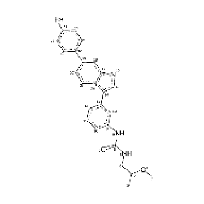 COC(C)CNC(=O)Nc1cccc(-c2cnc3cc(-c4ccc(F)cc4)ccn23)c1